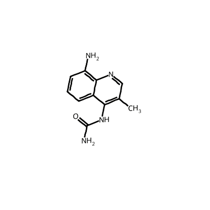 Cc1cnc2c(N)cccc2c1NC(N)=O